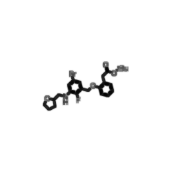 CC(C)(C)OC(=O)Cc1ccccc1OCc1cc(Br)cc(NCC2CCCO2)c1F